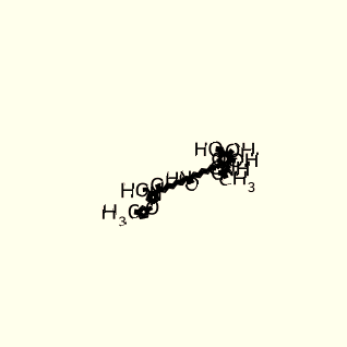 CC(=O)NC1C(OCCCCCC(=O)NCCCCCC(=O)N2C[C@H](OC3CCC(C)C3)C[C@H]2CO)OC(CO)C(O)C1O